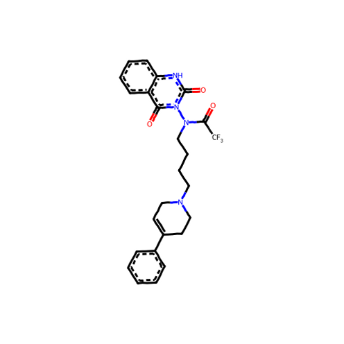 O=C(N(CCCCN1CC=C(c2ccccc2)CC1)n1c(=O)[nH]c2ccccc2c1=O)C(F)(F)F